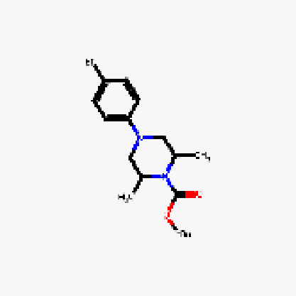 CCc1ccc(N2CC(C)N(C(=O)OC(C)(C)C)C(C)C2)cc1